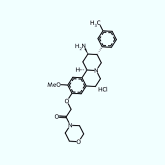 COc1cc2c(cc1OCC(=O)N1CCOCC1)CCN1C[C@@H](c3cccc(C)c3)[C@H](N)C[C@H]21.Cl